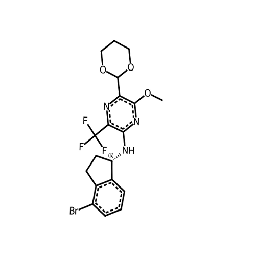 COc1nc(N[C@H]2CCc3c(Br)cccc32)c(C(F)(F)F)nc1C1OCCCO1